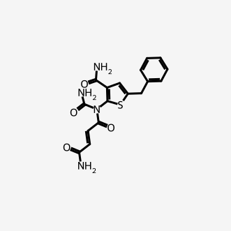 NC(=O)C=CC(=O)N(C(N)=O)c1sc(Cc2ccccc2)cc1C(N)=O